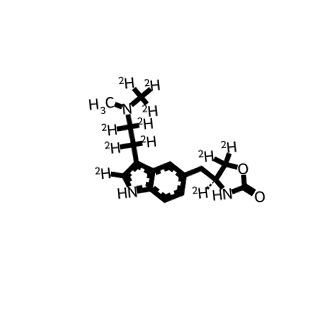 [2H]c1[nH]c2ccc(C[C@]3([2H])NC(=O)OC3([2H])[2H])cc2c1C([2H])([2H])C([2H])([2H])N(C)C([2H])([2H])[2H]